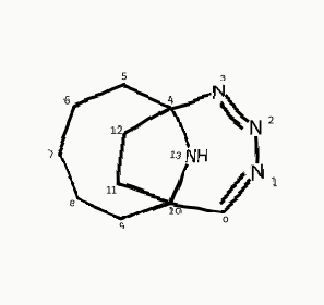 C1=NN=NC23CCCCCC1(CC2)N3